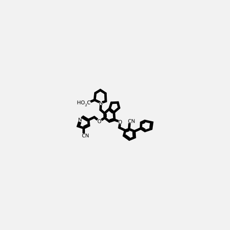 N#Cc1cncc(COc2cc(OCc3cccc(-c4ccccc4)c3C#N)c3c(c2CN2CCCCC2C(=O)O)CCC3)c1